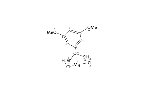 COc1c[c]cc(OC)c1.[AlH2][O][SiH3].[Cl][Mg][Cl]